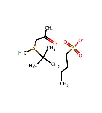 CC(=O)C[S+](C)C(C)(C)C.CCCCS(=O)(=O)[O-]